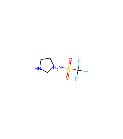 C1CCNC1.NS(=O)(=O)C(F)(F)F